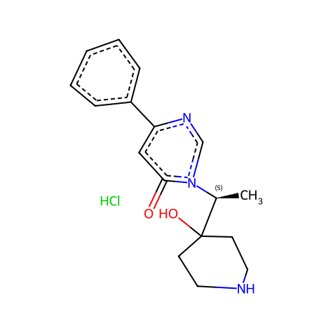 C[C@H](n1cnc(-c2ccccc2)cc1=O)C1(O)CCNCC1.Cl